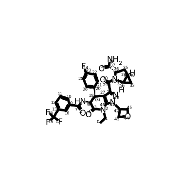 CCN1C(=O)[C@@H](NC(=O)c2cccc(C(F)(F)F)c2)[C@@H](c2ccc(F)cc2)c2c(C(=O)N3[C@@H]4C[C@@H]4C[C@H]3C(N)=O)nn(C3COC3)c21